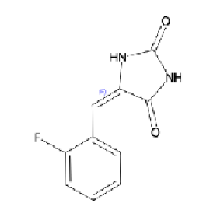 O=C1NC(=O)/C(=C\c2ccccc2F)N1